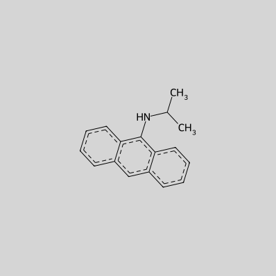 CC(C)Nc1c2ccccc2cc2ccccc12